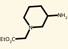 CCOC(=O)CN1CCCC(N)C1